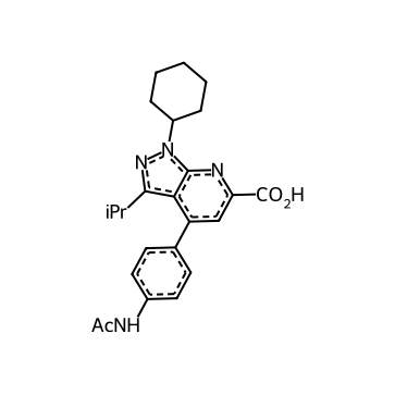 CC(=O)Nc1ccc(-c2cc(C(=O)O)nc3c2c(C(C)C)nn3C2CCCCC2)cc1